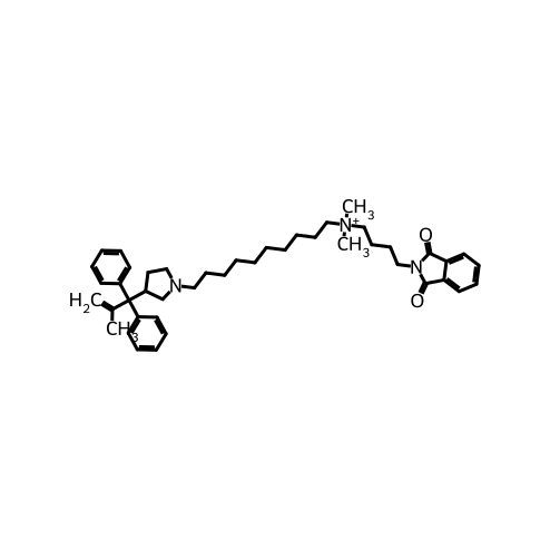 C=C(C)C(c1ccccc1)(c1ccccc1)C1CCN(CCCCCCCCCC[N+](C)(C)CCCCN2C(=O)c3ccccc3C2=O)C1